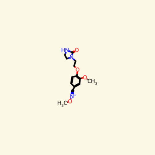 CO[N+]#Cc1ccc(OCCN2CCNC2=O)c(OC)c1